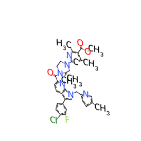 COC(=O)c1c(C)cc(N2CCN(C(=O)c3ccc4c(-c5ccc(Cl)c(F)c5)cn(Cc5ccc(C)cn5)c4n3)C(C)(C)C2)nc1C